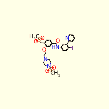 CS(=O)(=O)Cc1ccc(C(=O)Nc2ccc(I)c(-c3ccccn3)c2)cc1OCCN1CCN(S(C)(=O)=O)CC1